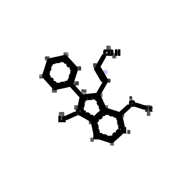 CCOc1ncnc2c1c(/C=C/C(=O)O)c(-c1ccccc1)n2CC